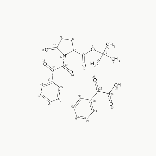 CC(C)(C)OC(=O)C1CCC(=O)N1C(=O)C(=O)c1ccccc1.O=C(O)C(=O)c1ccccc1